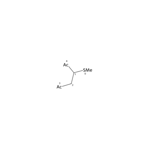 CSC(CC(C)=O)C(C)=O